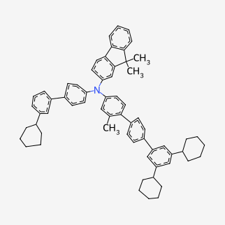 Cc1cc(N(c2ccc(-c3cccc(C4CCCCC4)c3)cc2)c2ccc3c(c2)C(C)(C)c2ccccc2-3)ccc1-c1ccc(-c2cc(C3CCCCC3)cc(C3CCCCC3)c2)cc1